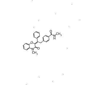 CNC(=O)c1ccc(CC(=C2Oc3ccccc3N(C)C2=O)c2ccccc2)cc1